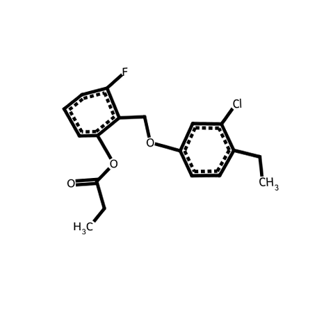 CCC(=O)Oc1cccc(F)c1COc1ccc(CC)c(Cl)c1